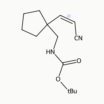 CC(C)(C)OC(=O)NCC1(/C=C\C#N)CCCC1